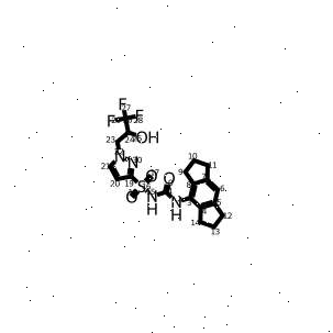 O=C(Nc1c2c(cc3c1CCC3)CCC2)NS(=O)(=O)c1ccn(CC(O)C(F)(F)F)n1